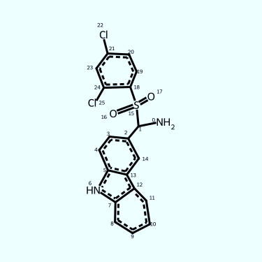 NC(c1ccc2[nH]c3ccccc3c2c1)S(=O)(=O)c1ccc(Cl)cc1Cl